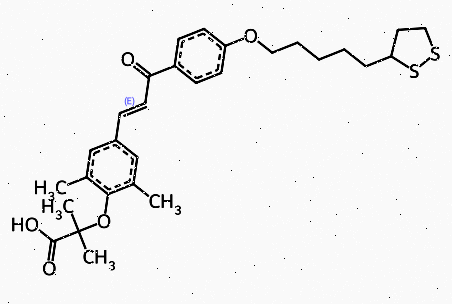 Cc1cc(/C=C/C(=O)c2ccc(OCCCCCC3CCSS3)cc2)cc(C)c1OC(C)(C)C(=O)O